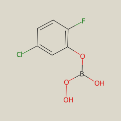 OOB(O)Oc1cc(Cl)ccc1F